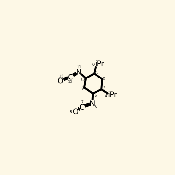 CC(C)C1CC(C(C)C)C(N=C=O)CC1N=C=O